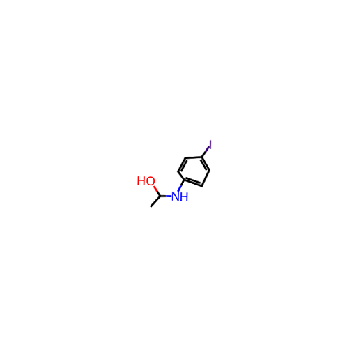 CC(O)Nc1ccc(I)cc1